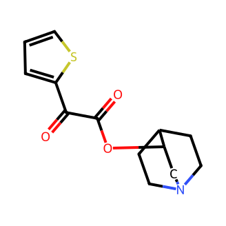 O=C(OC1CN2CCC1CC2)C(=O)c1cccs1